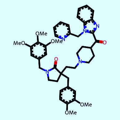 COc1ccc(CC2(CCN3CCC(C(=O)c4nc5ccccc5n4Cc4ccccn4)CC3)CCN(Cc3cc(OC)c(OC)c(OC)c3)C2=O)cc1OC